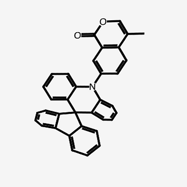 Cc1coc(=O)c2cc(N3c4ccccc4C4(c5ccccc5-c5ccccc54)c4ccccc43)ccc12